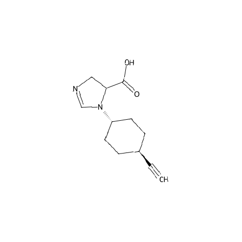 C#C[C@H]1CC[C@H](N2C=NCC2C(=O)O)CC1